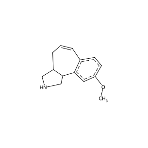 COc1ccc2c(c1)C1CNCC1CC=C2